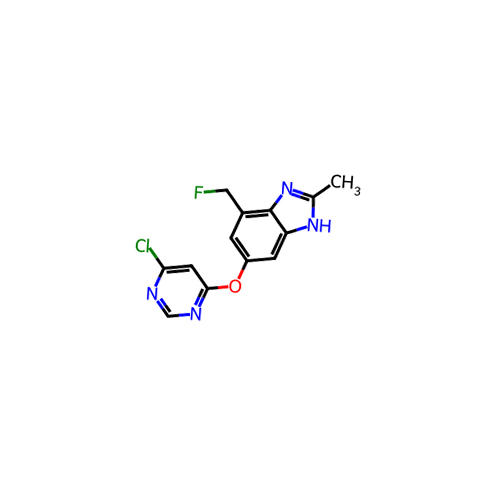 Cc1nc2c(CF)cc(Oc3cc(Cl)ncn3)cc2[nH]1